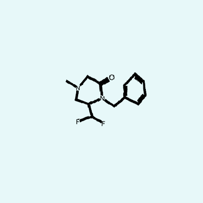 CN1CC(=O)N(Cc2ccccc2)C(C(F)F)C1